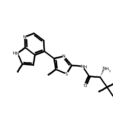 Cc1cc2c(-c3nc(NC(=O)[C@H](N)C(C)(C)C)sc3C)ccnc2[nH]1